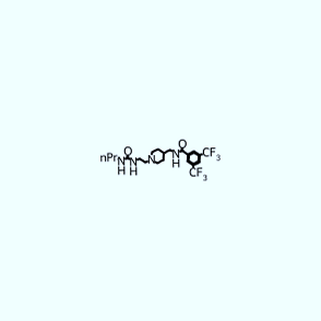 CCCNC(=O)NCCN1CCC(CNC(=O)c2cc(C(F)(F)F)cc(C(F)(F)F)c2)CC1